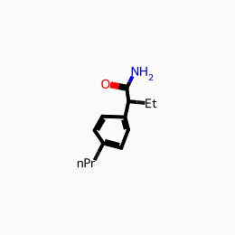 CCCc1ccc(C(CC)C(N)=O)cc1